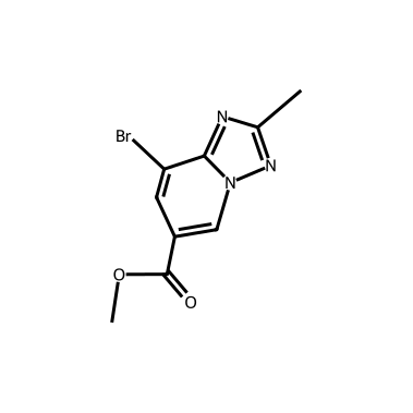 COC(=O)c1cc(Br)c2nc(C)nn2c1